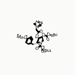 COc1ccc(C[C@@H]2[C@H](OC(=O)Cn3cnnc3)[C@@H](OC(=O)OC(C)(C)C)CN2C(=O)OC(C)(C)C)cc1